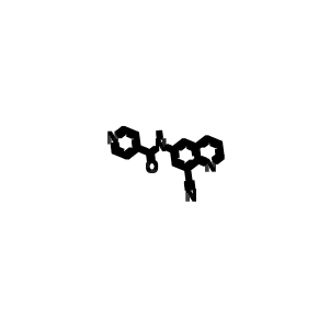 CN(C(=O)c1ccncc1)c1cc(C#N)c2ncccc2c1